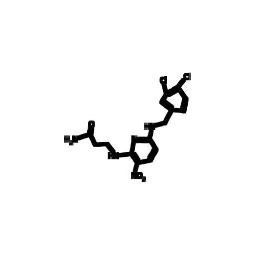 NC(=O)CCNc1nc(NCc2ccc(Cl)c(Cl)c2)ccc1[N+](=O)[O-]